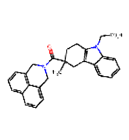 CC1(C(=O)N2Cc3cccc4cccc(c34)C2)CCc2c(c3ccccc3n2CC(=O)O)C1